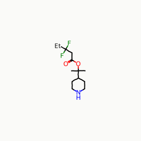 CCC(F)(F)CC(=O)OC(C)(C)C1CCNCC1